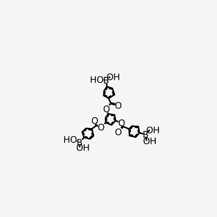 O=C(Oc1cc(OC(=O)c2ccc(B(O)O)cc2)cc(OC(=O)c2ccc(B(O)O)cc2)c1)c1ccc(B(O)O)cc1